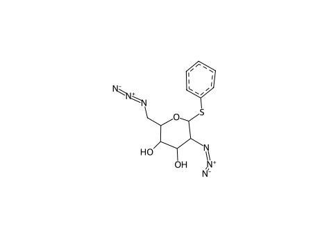 [N-]=[N+]=NCC1OC(Sc2ccccc2)C(N=[N+]=[N-])C(O)C1O